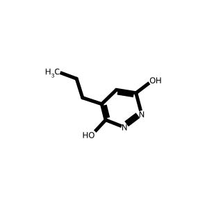 CCCc1cc(O)nnc1O